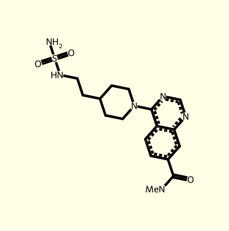 CNC(=O)c1ccc2c(N3CCC(CCNS(N)(=O)=O)CC3)ncnc2c1